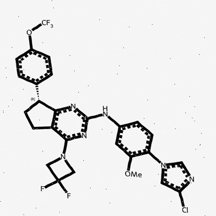 COc1cc(Nc2nc3c(c(N4CC(F)(F)C4)n2)CC[C@@H]3c2ccc(OC(F)(F)F)cc2)ccc1-n1cnc(Cl)c1